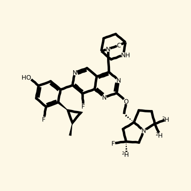 [2H]C1([2H])CC[C@]2(COc3nc(N4CC5CCC4CN5)c4cnc(-c5cc(O)cc(F)c5[C@H]5C[C@H]5C)c(F)c4n3)C[C@]([2H])(F)CN12